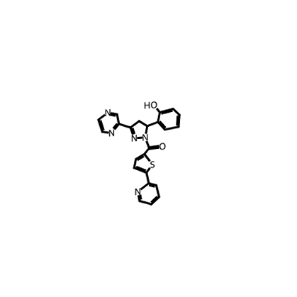 O=C(c1ccc(-c2ccccn2)s1)N1N=C(c2cnccn2)CC1c1ccccc1O